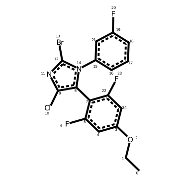 CCOc1cc(F)c(-c2c(Cl)nc(Br)n2-c2cccc(F)c2)c(F)c1